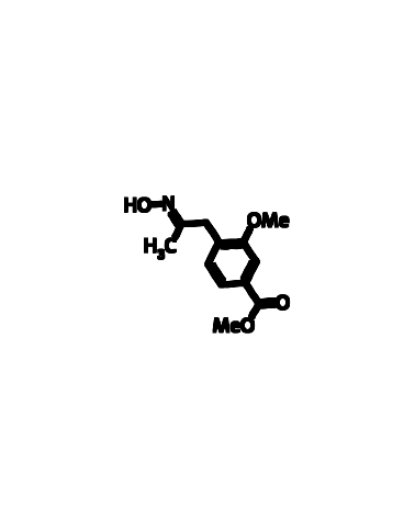 COC(=O)c1ccc(C/C(C)=N/O)c(OC)c1